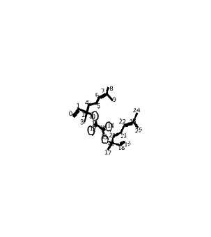 C=CC(C)(CCC=C(C)C)OC(=O)C(=O)OC(C)(C=C)CCC=C(C)C